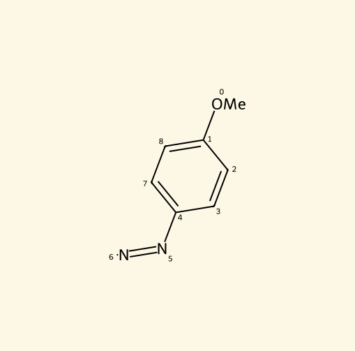 COc1ccc(N=[N])cc1